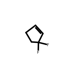 FC1(F)C=CCC1